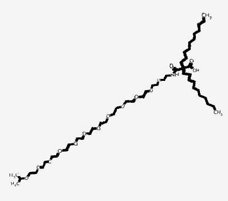 CCCCCCCCCCCC(CCCCCCCCCCC)(C(=O)O)C(=O)NCCOCCOCCOCCOCCOCCOCCOCCOCCOCCOCCOCCOC(C)C